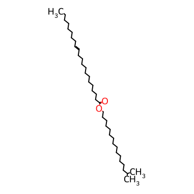 CCCCCCCCC=CCCCCCCCCCCCC(=O)OCCCCCCCCCCCCCCC(C)C